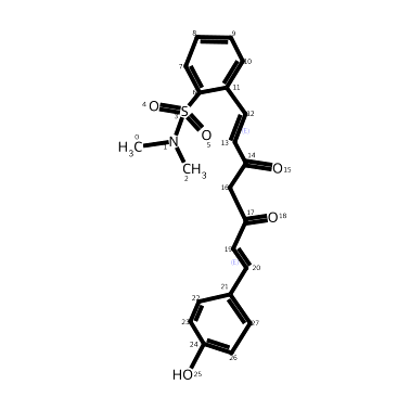 CN(C)S(=O)(=O)c1ccccc1/C=C/C(=O)CC(=O)/C=C/c1ccc(O)cc1